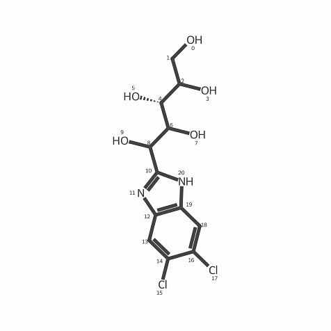 OCC(O)[C@@H](O)C(O)C(O)c1nc2cc(Cl)c(Cl)cc2[nH]1